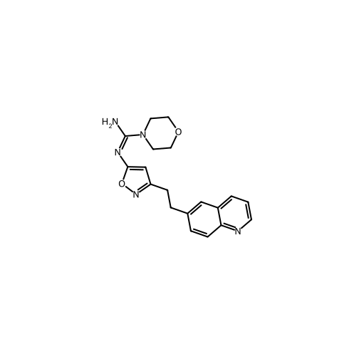 NC(=Nc1cc(CCc2ccc3ncccc3c2)no1)N1CCOCC1